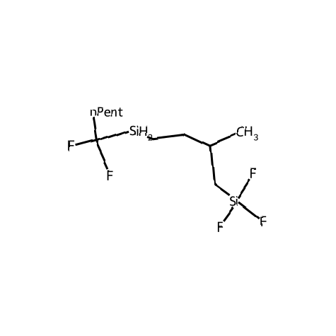 CCCCCC(F)(F)[SiH2]CCC(C)C[Si](F)(F)F